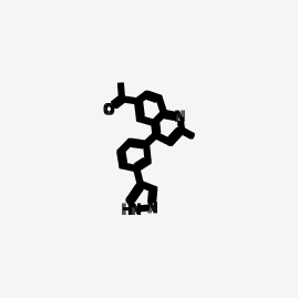 CC(=O)c1ccc2nc(C)cc(-c3cccc(-c4cn[nH]c4)c3)c2c1